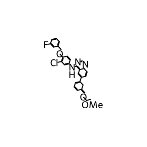 COC(C)OC=C1C=CC=C(c2ccc3ncnc(Nc4ccc(OCc5cccc(F)c5)c(Cl)c4)c3c2)C1